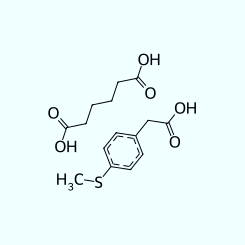 CSc1ccc(CC(=O)O)cc1.O=C(O)CCCCC(=O)O